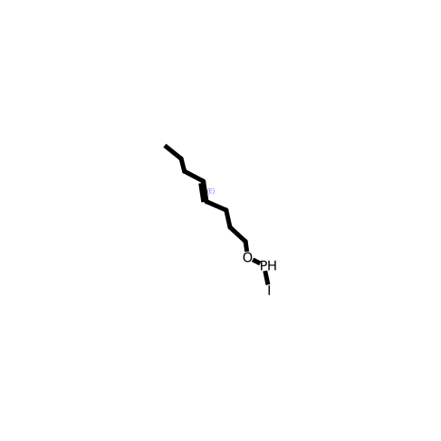 CCC/C=C/CCCOPI